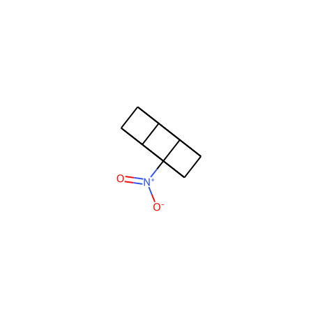 O=[N+]([O-])C12C3C4C5C3C1C5C42